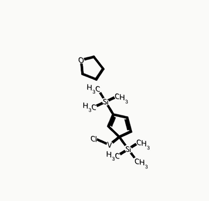 C1CCOC1.C[Si](C)(C)C1=C[C]([V][Cl])([Si](C)(C)C)C=C1